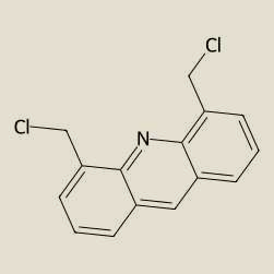 ClCc1cccc2cc3cccc(CCl)c3nc12